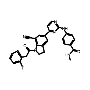 CNC(=O)c1ccc(Nc2nccc(-c3cc(C#N)c4c(c3)CCN4C(=O)Cc3ccccc3F)n2)cc1